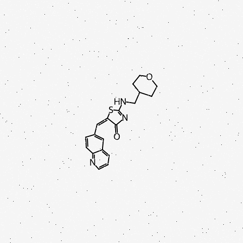 O=C1N=C(NCC2CCOCC2)SC1=Cc1ccc2ncccc2c1